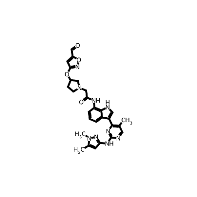 Cc1cnc(Nc2cc(C)n(C)n2)nc1-c1c[nH]c2c(NC(=O)CN3CCC(Oc4cc(C=O)on4)C3)cccc12